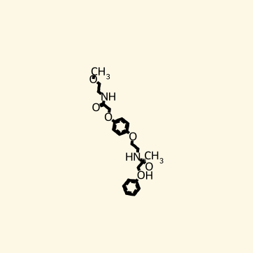 COCCNC(=O)COc1ccc(OCCN[C@](C)(O)COc2ccccc2)cc1